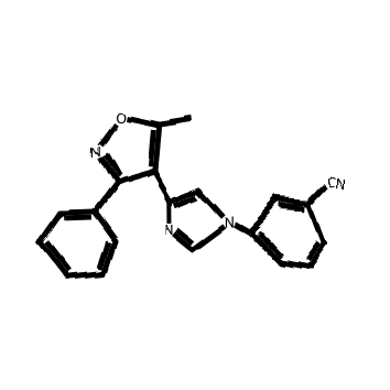 Cc1onc(-c2ccccc2)c1-c1cn(-c2cccc(C#N)c2)cn1